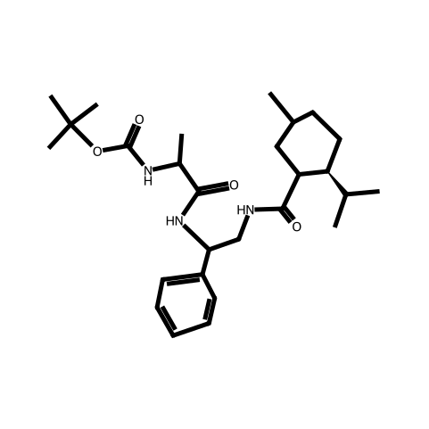 CC1CC[C@@H](C(C)C)C(C(=O)NCC(NC(=O)C(C)NC(=O)OC(C)(C)C)c2ccccc2)C1